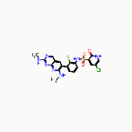 CNc1ncc2cc(-c3cccc(NS(=O)(=O)c4cc(Cl)c[nH]c4=O)c3F)c(NC)nc2n1